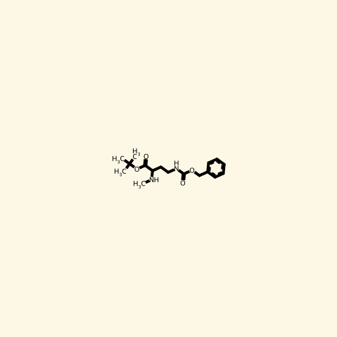 CNC(CCNC(=O)OCc1ccccc1)C(=O)OC(C)(C)C